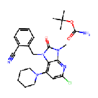 CC(C)(C)OC(N)=O.Cn1c(=O)n(Cc2ccccc2C#N)c2c(N3CCCCC3)cc(Cl)nc21